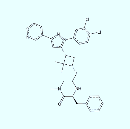 CN(C)C(=O)[C@H](Cc1ccccc1)NCC[C@H]1C[C@@H](c2cc(-c3cccnc3)nn2-c2ccc(Cl)c(Cl)c2)C1(C)C